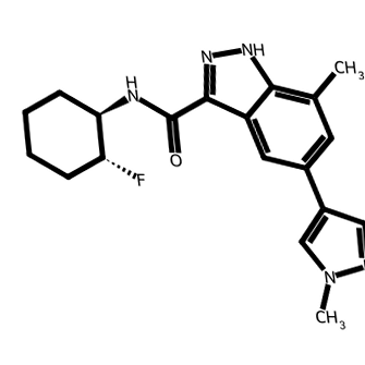 Cc1cc(-c2cnn(C)c2)cc2c(C(=O)N[C@@H]3CCCC[C@H]3F)n[nH]c12